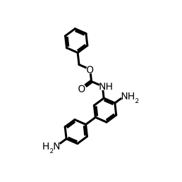 Nc1ccc(-c2ccc(N)c(NC(=O)OCc3ccccc3)c2)cc1